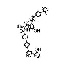 Cc1ncsc1-c1ccc([C@H](C)NC(=O)[C@@H]2C[C@@H](O)CN2C(=O)C(NC(=O)C2CCN(c3ccc(-c4cnnc(-c5ccccc5O)c4)cc3)CC2)C(C)(C)C)cc1